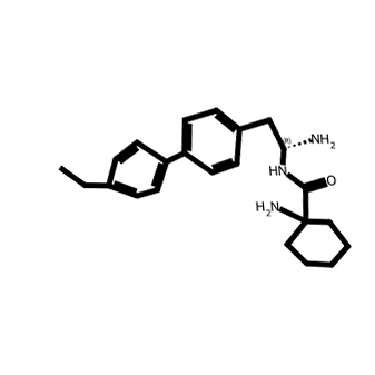 CCc1ccc(-c2ccc(C[C@H](N)NC(=O)C3(N)CCCCC3)cc2)cc1